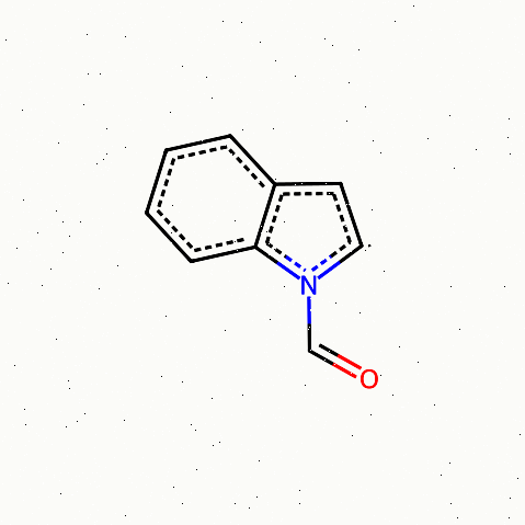 O=Cn1[c]cc2ccccc21